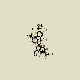 CCC(C)CC(CC(C)(C)c1ccc(C(C)(C)C)cc1)(c1ccc(C(=O)O)cc1)c1ccc(C(=O)O)cc1